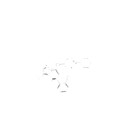 CC1CCCC(N2CCC(Nc3cc(-c4ccccc4Cl)nc4c(Br)cnn34)CC2)C1